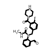 CNC(=O)N(Cc1ccc(F)c(C(=O)N2CCNCC2)c1)c1ccccc1C=O